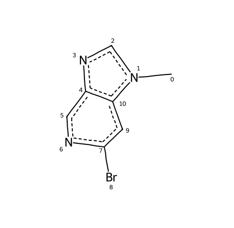 Cn1cnc2cnc(Br)cc21